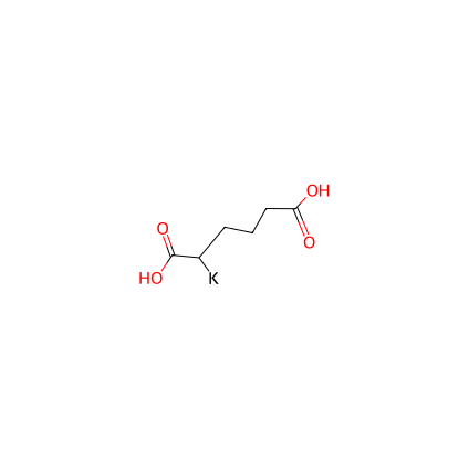 O=C(O)CCC[CH]([K])C(=O)O